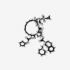 O=C(N[C@H]1CCCCC/C=C\[C@@H]2C[C@@]2(C(=O)NS(=O)(=O)C2CC2)NC(=O)[C@@H]2C[C@@H](OC(=O)N3CCc4ccccc4[C@@H]3CN3CCCCC3)CN2C1=O)OC1CCCC1